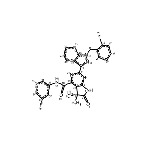 CC1(C)C(=O)Nc2nc(-c3nn(Cc4ccccc4F)c4ncccc34)nc(C(=O)Nc3cncc(F)c3)c21